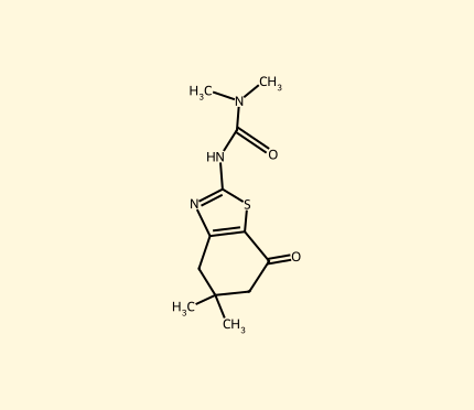 CN(C)C(=O)Nc1nc2c(s1)C(=O)CC(C)(C)C2